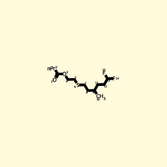 CCCC(=O)OCCSCCC(C)CCC(F)F